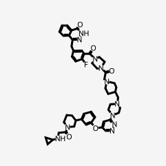 O=C(CN1CCC(CN2CCN(c3cc(Oc4cccc(C5CCCN(C(=O)CNC6CC6)C5)c4)cnn3)CC2)CC1)N1CCN(C(=O)c2cc(Cc3n[nH]c(=O)c4ccccc34)ccc2F)CC1